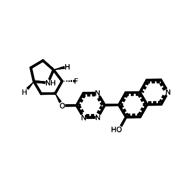 Oc1cc2cnccc2cc1-c1ncc(O[C@H]2C[C@@H]3CC[C@@H](N3)[C@@H]2F)nn1